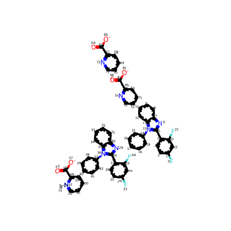 Fc1ccc(-c2nc3ccccc3n2-c2ccccc2)c(F)c1.Fc1ccc(-c2nc3ccccc3n2-c2ccccc2)c(F)c1.O=C([O-])c1ccccn1.O=C([O-])c1ccccn1.O=C([O-])c1ccccn1.[Ir+3]